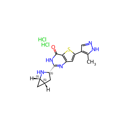 Cc1[nH]ncc1-c1cc2nc([C@@H]3C[C@@H]4C[C@@H]4N3)[nH]c(=O)c2s1.Cl.Cl